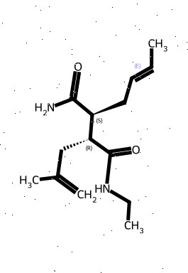 C=C(C)C[C@@H](C(=O)NCC)[C@H](C/C=C/C)C(N)=O